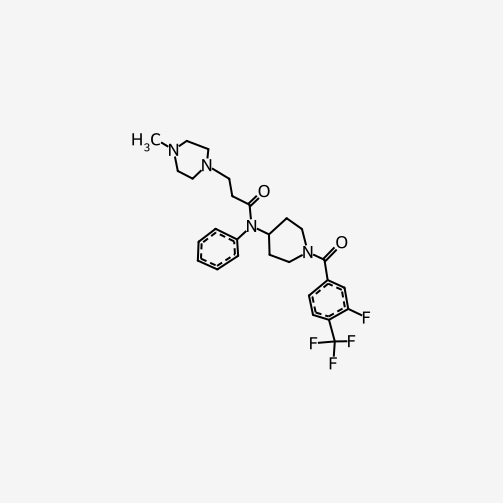 CN1CCN(CCC(=O)N(c2ccccc2)C2CCN(C(=O)c3ccc(C(F)(F)F)c(F)c3)CC2)CC1